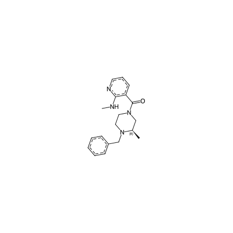 CNc1ncccc1C(=O)N1CCN(Cc2ccccc2)[C@H](C)C1